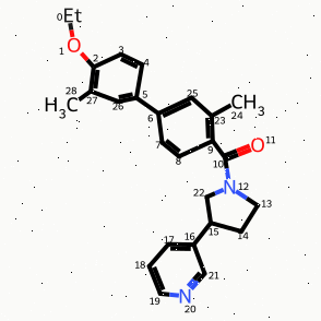 CCOc1ccc(-c2ccc(C(=O)N3CCC(c4cccnc4)C3)c(C)c2)cc1C